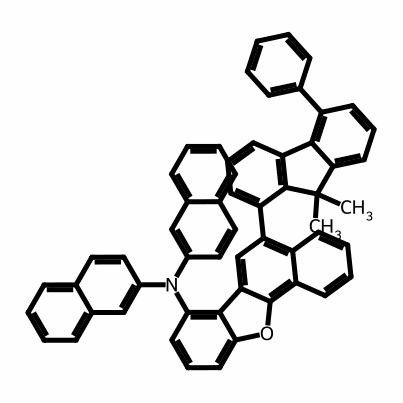 CC1(C)c2cccc(-c3ccccc3)c2-c2cccc(-c3cc4c(oc5cccc(N(c6ccc7ccccc7c6)c6ccc7ccccc7c6)c54)c4ccccc34)c21